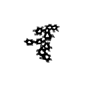 c1ccc(-c2ccc(N(c3ccc4c5c6ccccc6ccc5n(-c5ccccc5)c4c3)c3cccc4c3oc3ccc5ccccc5c34)cc2)cc1